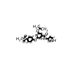 CC(C)Oc1cc(C(=O)Nc2cc[nH]n2)cc(Oc2ccc(S(C)(=O)=O)cc2)n1